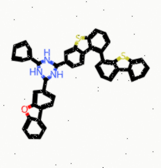 c1ccc(C2NC(c3ccc4c(c3)oc3ccccc34)NC(c3ccc4c(c3)sc3cccc(-c5cccc6c5sc5ccccc56)c34)N2)cc1